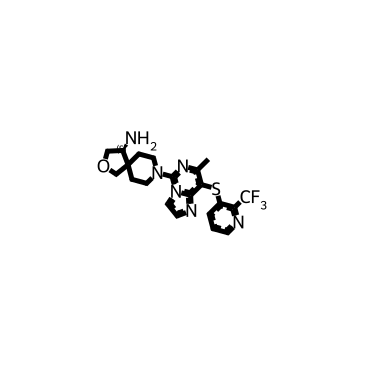 Cc1nc(N2CCC3(CC2)COC[C@H]3N)n2ccnc2c1Sc1cccnc1C(F)(F)F